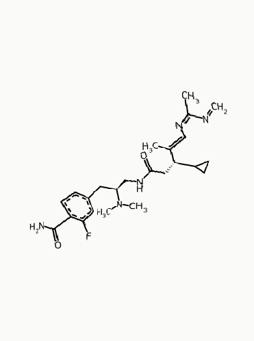 C=N/C(C)=N\C=C(/C)[C@@H](CC(=O)NC[C@H](Cc1ccc(C(N)=O)c(F)c1)N(C)C)C1CC1